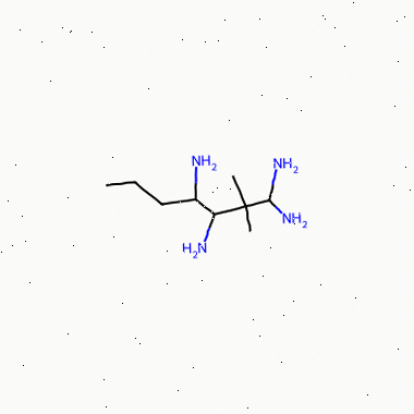 CCCC(N)C(N)C(C)(C)C(N)N